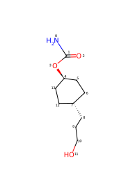 NC(=O)O[C@H]1CC[C@H](CCCO)CC1